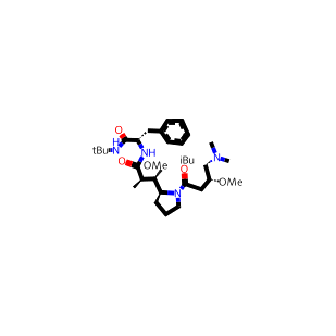 CC[C@H](C)[C@@H]([C@@H](CC(=O)N1CCC[C@H]1[C@H](OC)[C@@H](C)C(=O)N[C@@H](Cc1ccccc1)C(=O)NC(C)(C)C)OC)N(C)C